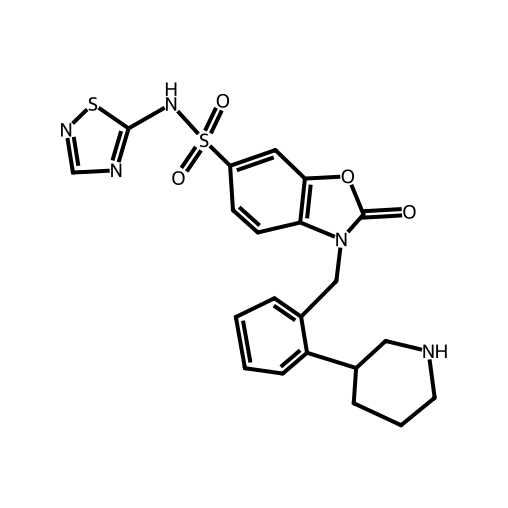 O=c1oc2cc(S(=O)(=O)Nc3ncns3)ccc2n1Cc1ccccc1C1CCCNC1